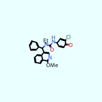 CCN(C(=O)NC1C=CC(=O)C(Cl)=C1)C(c1ccccc1)c1cnc(OC)c2ccccc12